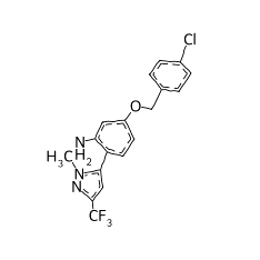 Cn1nc(C(F)(F)F)cc1-c1ccc(OCc2ccc(Cl)cc2)cc1N